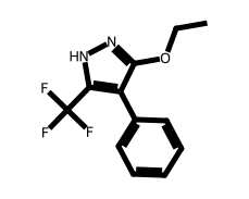 CCOc1n[nH]c(C(F)(F)F)c1-c1ccccc1